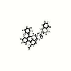 COc1ccc([C@@H](C)N(CC=C(c2ccccc2)c2ccccc2)CC(=O)N2CCc3ccccc3C2)cc1